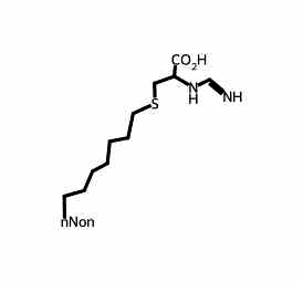 CCCCCCCCCCCCCCCCSCC(NC=N)C(=O)O